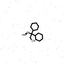 N#CCC(N=N)(C1CCCCC1)C1CCCCC1